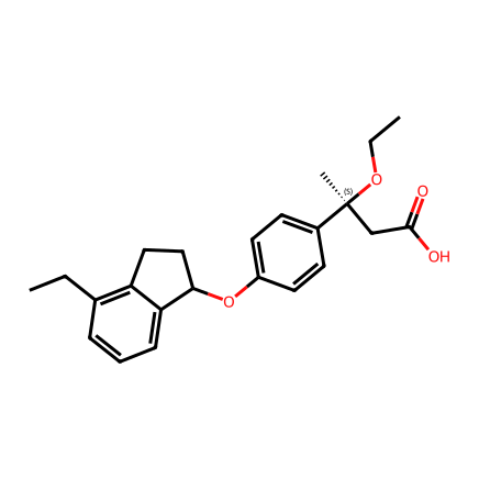 CCO[C@@](C)(CC(=O)O)c1ccc(OC2CCc3c(CC)cccc32)cc1